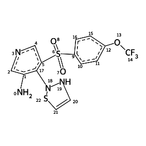 Nc1cncc(S(=O)(=O)c2ccc(OC(F)(F)F)cc2)c1N1NC=CS1